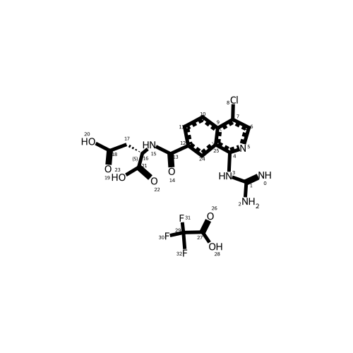 N=C(N)Nc1ncc(Cl)c2ccc(C(=O)N[C@@H](CC(=O)O)C(=O)O)cc12.O=C(O)C(F)(F)F